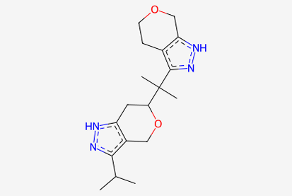 CC(C)c1n[nH]c2c1COC(C(C)(C)c1n[nH]c3c1CCOC3)C2